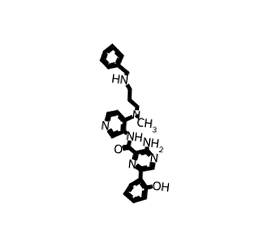 CN(CCCNCc1ccccc1)c1ccncc1NC(=O)c1nc(-c2ccccc2O)cnc1N